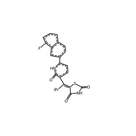 CC(C)C(=C1SC(=O)NC1=O)c1ccc(-c2ccc3cccc(F)c3c2)[nH]c1=O